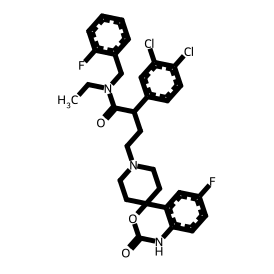 CCN(Cc1ccccc1F)C(=O)C(CCN1CCC2(CC1)OC(=O)Nc1ccc(F)cc12)c1ccc(Cl)c(Cl)c1